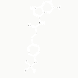 O=C(CCc1ccc(OC(F)(F)F)cc1)Nc1c[nH]c2cc(F)c(F)cc12